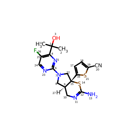 CC(C)(O)c1nc(N2C[C@@H]3CN=C(N)S[C@@]3(c3ccc(C#N)s3)C2)ncc1F